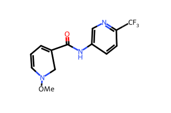 CON1C=CC=C(C(=O)Nc2ccc(C(F)(F)F)nc2)C1